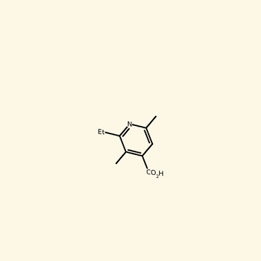 CCc1nc(C)cc(C(=O)O)c1C